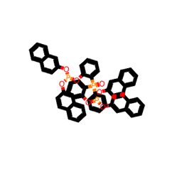 O=P(c1ccccc1)(c1ccccc1OP(Oc1ccc2ccccc2c1)Oc1ccc2ccccc2c1)c1ccccc1OP(Oc1ccc2ccccc2c1)Oc1ccc2ccccc2c1